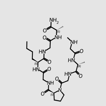 CCCC[C@H](NC(=O)CNC(=O)[C@@H]1CCCN1C(=O)CNC(=O)[C@@H](C)NC(=O)CNC)C(=O)NCC(=O)N[C@@H](C)C(N)=O